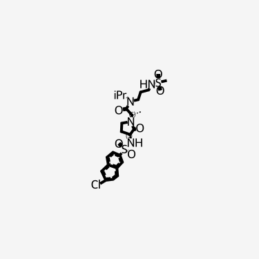 CC(C)N(CCCNS(C)(=O)=O)C(=O)[C@H](C)N1CC[C@H](NS(=O)(=O)c2ccc3cc(Cl)ccc3c2)C1=O